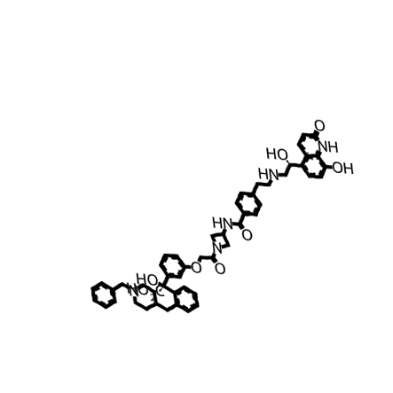 O=C(NC1CN(C(=O)COc2cccc([C@@](O)(C(=O)O)c3ccccc3CC3CCN(Cc4ccccc4)CC3)c2)C1)c1ccc(CCNC[C@H](O)c2ccc(O)c3[nH]c(=O)ccc23)cc1